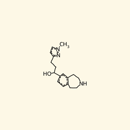 Cn1ccc(CCC(O)c2ccc3c(c2)CCNCC3)n1